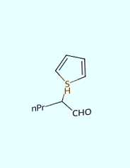 CCCC(C=O)[SH]1C=CC=C1